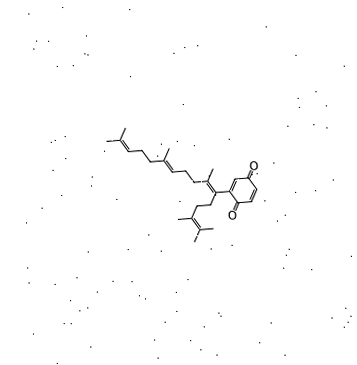 CC(C)=CCC/C(C)=C/CC/C(C)=C(\CCC(C)=C(C)C)C1=CC(=O)C=CC1=O